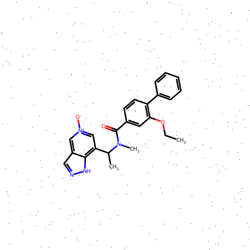 CCOc1cc(C(=O)N(C)C(C)c2c[n+]([O-])cc3cn[nH]c23)ccc1-c1ccccc1